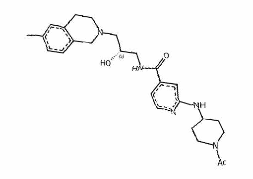 CC(=O)N1CCC(Nc2cc(C(=O)NC[C@H](O)CN3CCc4cc(C)ccc4C3)ccn2)CC1